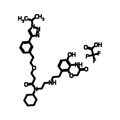 CC(C)n1cc(-c2cccc(CCOCCC(=O)N(CCNCCc3ccc(O)c4c3OCC(=O)N4)C3CCCCC3)c2)nn1.O=C(O)C(F)(F)F